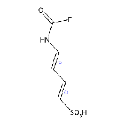 O=C(F)N/C=C/C=C/S(=O)(=O)O